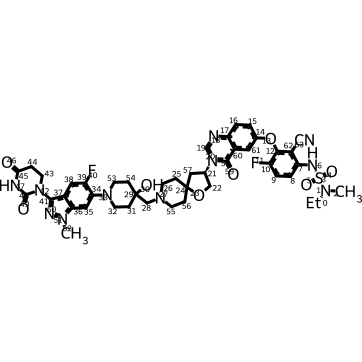 CCN(C)S(=O)(=O)Nc1ccc(F)c(Oc2ccc3ncn([C@H]4COC5(CCN(CC6(O)CCN(c7cc8c(cc7F)c(N7CCC(=O)NC7=O)nn8C)CC6)CC5)C4)c(=O)c3c2)c1C#N